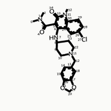 CN(C)C(=O)c1c(NC2CCN(Cc3ccc4c(c3)OCO4)CC2)c2cc(Cl)ccc2n(C)c1=O